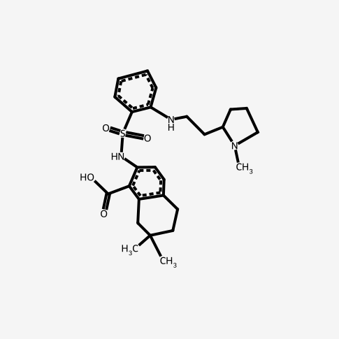 CN1CCCC1CCNc1ccccc1S(=O)(=O)Nc1ccc2c(c1C(=O)O)CC(C)(C)CC2